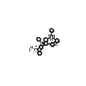 CC1(C)c2ccccc2-c2cc3c4cc(-c5ccc6sc7cccc(-c8nc(C9=CCCC=C9)nc(-c9ccccc9)n8)c7c6c5)ccc4n(-c4ccccc4)c3cc21